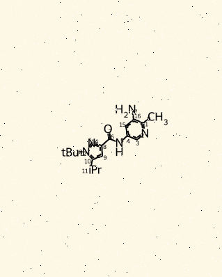 Cc1ncc(NC(=O)c2cc(C(C)C)n(C(C)(C)C)n2)cc1N